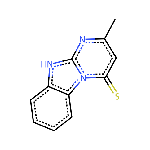 Cc1cc(=S)n2c(n1)[nH]c1ccccc12